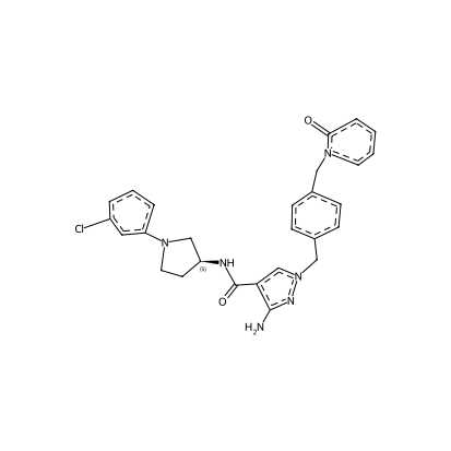 Nc1nn(Cc2ccc(Cn3ccccc3=O)cc2)cc1C(=O)N[C@H]1CCN(c2cccc(Cl)c2)C1